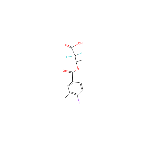 Cc1cc(C(=O)OC(C)(C)C(F)(F)C(=O)O)ccc1I